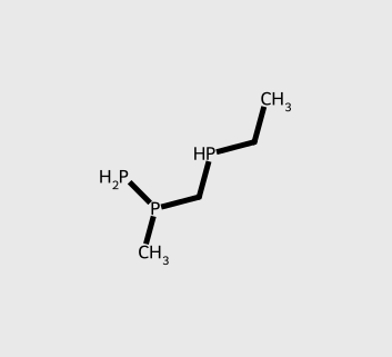 CCPCP(C)P